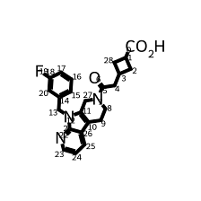 O=C(O)C1CC(CC(=O)N2CCc3c(n(Cc4cccc(F)c4)c4ncccc34)C2)C1